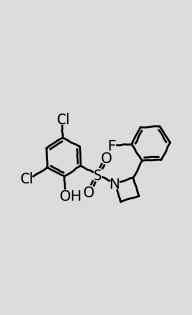 O=S(=O)(c1cc(Cl)cc(Cl)c1O)N1CCC1c1ccccc1F